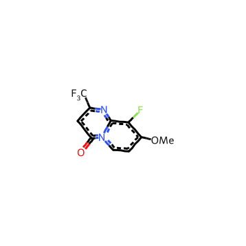 COc1ccn2c(=O)cc(C(F)(F)F)nc2c1F